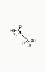 O=C1NCCN1CCC[Si](O)(O)Cl